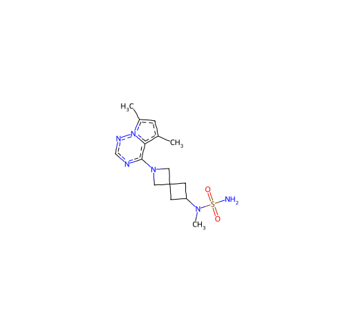 Cc1cc(C)n2ncnc(N3CC4(CC(N(C)S(N)(=O)=O)C4)C3)c12